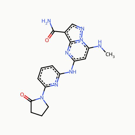 CNc1cc(Nc2cccc(N3CCCC3=O)n2)nc2c(C(N)=O)cnn12